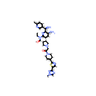 CCN(C(=O)[C@@H]1CCN(CC(=O)N2CC=C(c3ncc(-c4ncn(C)n4)s3)CC2)C1)c1ccc(N)c(C(=N)c2ccc(C)nc2)n1